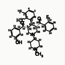 Cc1c(F)cccc1[C@@H]1[C@@H](C(=O)c2cccc(O)c2)CN(C2CCN(C)CC2)C[C@H]1C(=O)c1ccccc1F